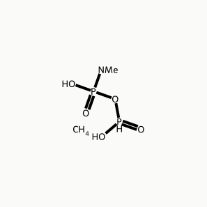 C.CNP(=O)(O)O[PH](=O)O